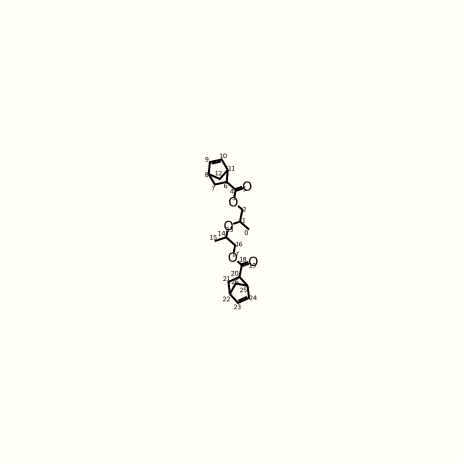 CC(COC(=O)C1CC2C=CC1C2)OC(C)COC(=O)C1CC2C=CC1C2